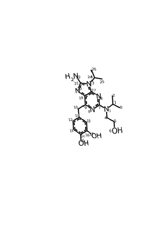 CC(C)N(CCO)c1nc(Cc2ccc(O)c(O)c2)c2nc(N)n(C(C)C)c2n1